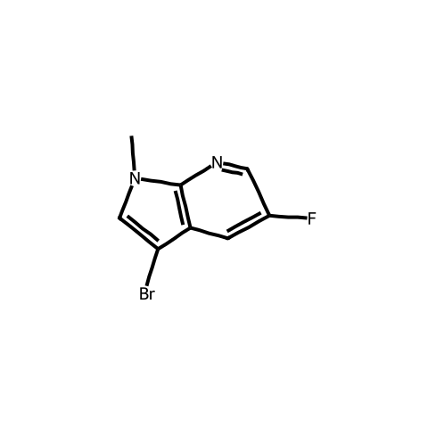 Cn1cc(Br)c2cc(F)cnc21